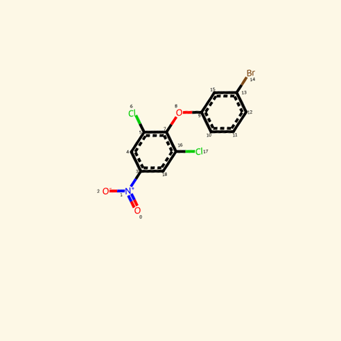 O=[N+]([O-])c1cc(Cl)c(Oc2cccc(Br)c2)c(Cl)c1